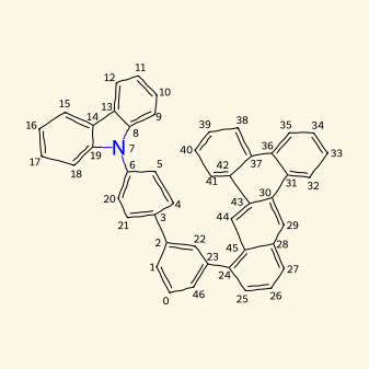 c1cc(-c2ccc(-n3c4ccccc4c4ccccc43)cc2)cc(-c2cccc3cc4c5ccccc5c5ccccc5c4cc23)c1